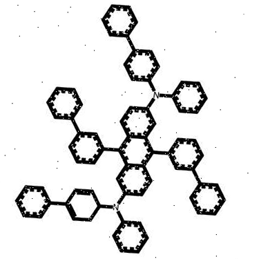 C1=CC(N(c2ccccc2)c2ccc3c(-c4cccc(-c5ccccc5)c4)c4cc(N(c5ccccc5)c5ccc(-c6ccccc6)cc5)ccc4c(-c4cccc(-c5ccccc5)c4)c3c2)CC=C1c1ccccc1